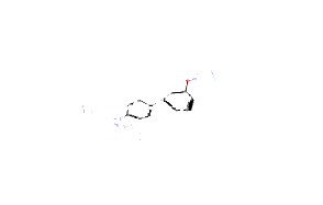 CN(C)c1ccc(-c2cccc(C(N)=O)c2)cc1